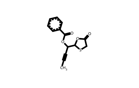 CC#CC(OC(=O)c1ccccc1)C1OC(=O)CS1